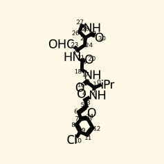 CC(C)C(NC(=O)c1cc2cc(Cl)ccc2o1)C(=O)NCC(=O)NC(C=O)CC1CCNC1=O